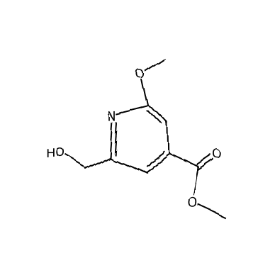 COC(=O)c1cc(CO)nc(OC)c1